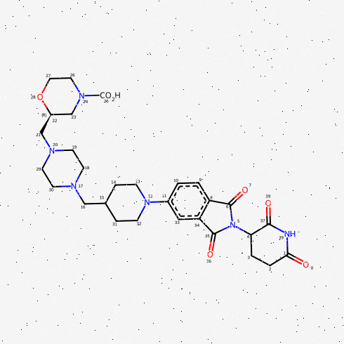 O=C1CCC(N2C(=O)c3ccc(N4CCC(CN5CCN(C[C@@H]6CN(C(=O)O)CCO6)CC5)CC4)cc3C2=O)C(=O)N1